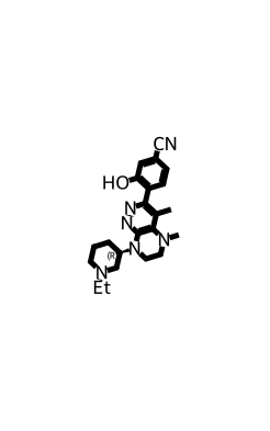 CCN1CCC[C@@H](N2CCN(C)c3c2nnc(-c2ccc(C#N)cc2O)c3C)C1